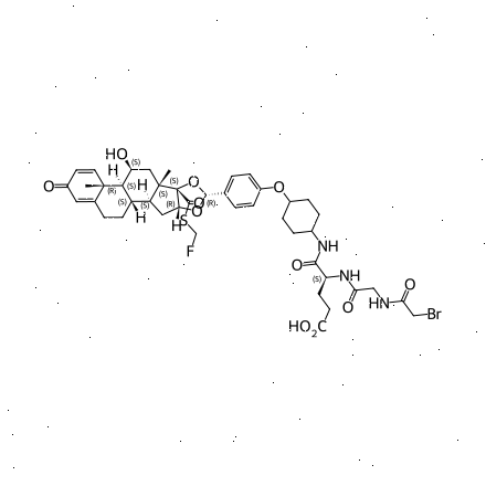 C[C@]12C=CC(=O)C=C1CC[C@@H]1[C@@H]2[C@@H](O)C[C@@]2(C)[C@H]1C[C@H]1O[C@@H](c3ccc(OC4CCC(NC(=O)[C@H](CCC(=O)O)NC(=O)CNC(=O)CBr)CC4)cc3)O[C@]12C(=O)SCF